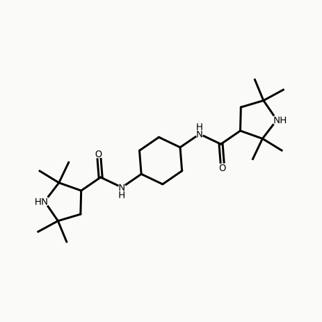 CC1(C)CC(C(=O)NC2CCC(NC(=O)C3CC(C)(C)NC3(C)C)CC2)C(C)(C)N1